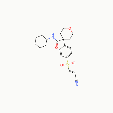 N#CC=CS(=O)(=O)c1ccc(C2(C(=O)NC3CCCCC3)CCOCC2)cc1